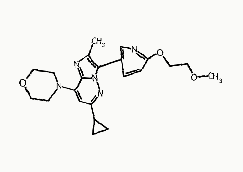 COCCOc1ccc(-c2c(C)nc3c(N4CCOCC4)cc(C4CC4)nn23)cn1